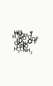 CC(N)c1oc(-c2ccc(OC(F)F)c(OCC3CC3)c2)nc1C[C@@]1(C(=O)O)C=CC(C)(C(=O)O)C=N1.Cl.Cl